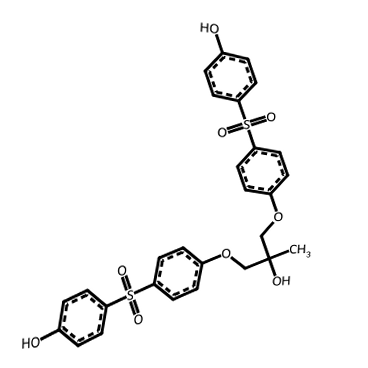 CC(O)(COc1ccc(S(=O)(=O)c2ccc(O)cc2)cc1)COc1ccc(S(=O)(=O)c2ccc(O)cc2)cc1